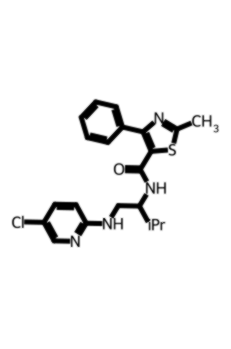 Cc1nc(-c2ccccc2)c(C(=O)NC(CNc2ccc(Cl)cn2)C(C)C)s1